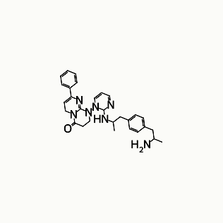 CC(N)Cc1ccc(CC(C)NC2N=CC=CN2N2CCC(=O)N3CC=C(c4ccccc4)N=C32)cc1